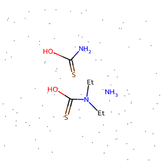 CCN(CC)C(O)=S.N.NC(O)=S